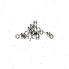 C=CC(=O)Nc1cc(Nc2ncnc(N(C)c3ccc4c(cnn4Cc4ccccc4)c3)n2)ccc1OCCCN1CCOCC1